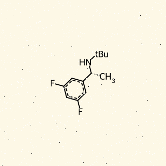 C[C@@H](NC(C)(C)C)c1cc(F)cc(F)c1